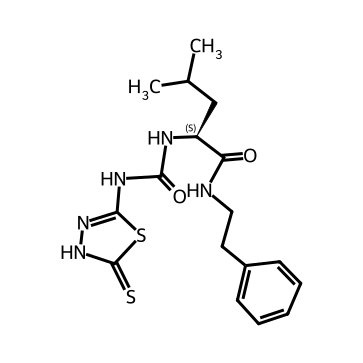 CC(C)C[C@H](NC(=O)Nc1n[nH]c(=S)s1)C(=O)NCCc1ccccc1